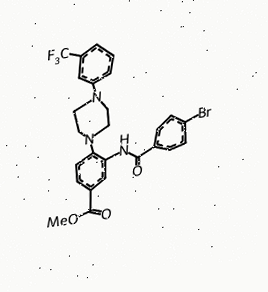 COC(=O)c1ccc(N2CCN(c3cccc(C(F)(F)F)c3)CC2)c(NC(=O)c2ccc(Br)cc2)c1